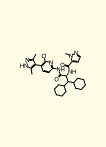 Cc1n[nH]c(C)c1-c1ccc(NC(=O)[C@@H](NC(=O)c2ccnn2C)C(C2CCCCC2)C2CCCCC2)nc1Cl